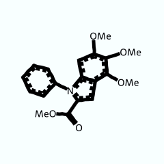 COC(=O)c1cc2c(OC)c(OC)c(OC)cc2n1-c1ccccc1